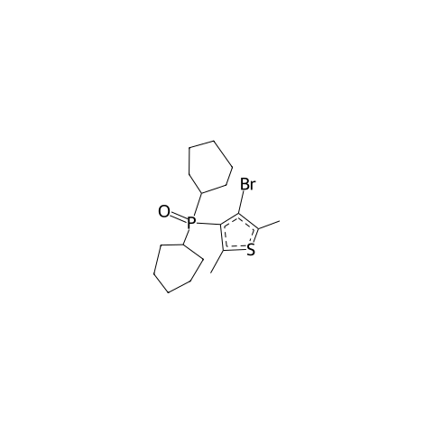 Cc1sc(C)c(P(=O)(C2CCCCC2)C2CCCCC2)c1Br